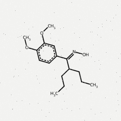 CCCC(CCC)C(=NO)c1ccc(OC)c(OC)c1